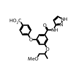 COCC(C)Oc1cc(Oc2ccc(C(=O)O)cc2)cc(C(=O)Nc2cc[nH]n2)c1